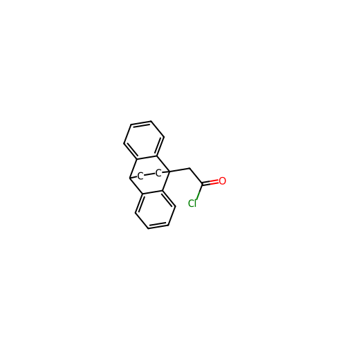 O=C(Cl)CC12CCC(c3ccccc31)c1ccccc12